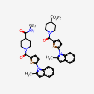 CCCCNC(=O)C1CCN(C(=O)c2ccc(-n3c(C)cc4ccccc43)s2)CC1.CCOC(=O)C1CCN(C(=O)c2ccc(-n3c(C)cc4ccccc43)s2)CC1